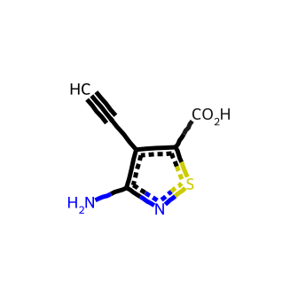 C#Cc1c(N)nsc1C(=O)O